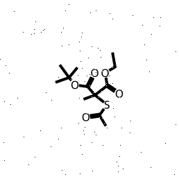 CCOC(=O)C(C)(SC(C)=O)C(=O)OC(C)(C)C